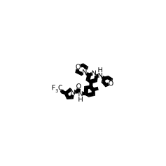 Cc1ccc(NC(=O)N2CCC(CC(F)(F)F)C2)cc1-c1cc(NC2CCOCC2)nc(N2CCOCC2)c1